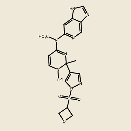 CCCN1C=CC(N(C(=O)O)c2cc3[nH]cnc3cn2)=NC1(C)c1cnn(S(=O)(=O)C2COC2)c1